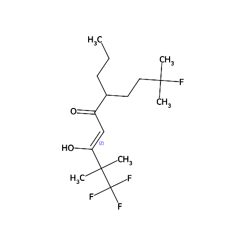 CCCC(CCC(C)(C)F)C(=O)/C=C(\O)C(C)(C)C(F)(F)F